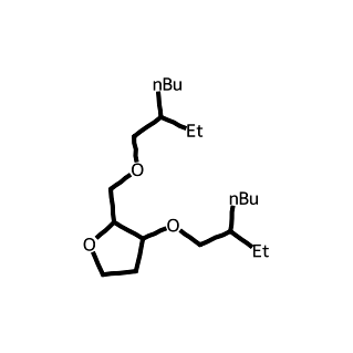 CCCCC(CC)COCC1OCCC1OCC(CC)CCCC